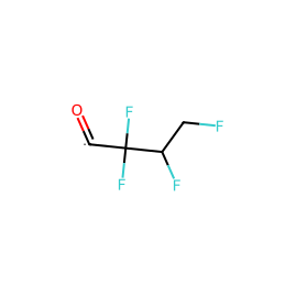 O=[C]C(F)(F)C(F)CF